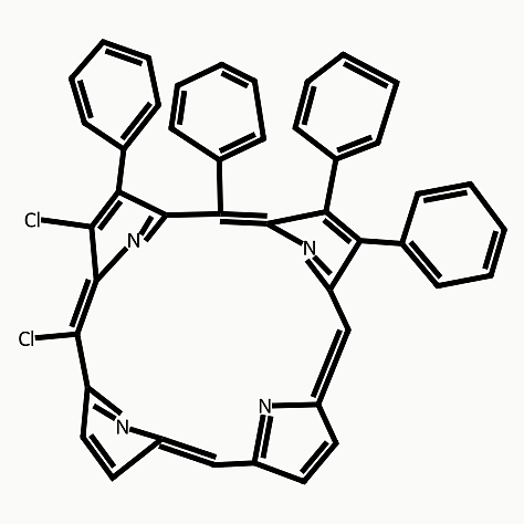 ClC1=C2N=C(C(c3ccccc3)=C2Cl)C(c2ccccc2)=C2N=C(C=C3C=CC(=N3)C=C3C=CC1=N3)C(c1ccccc1)=C2c1ccccc1